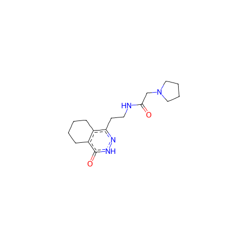 O=C(CN1CCCC1)NCCc1n[nH]c(=O)c2c1CCCC2